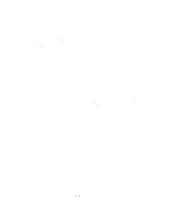 CCOC(=O)N(c1ccc(C(=O)Nc2cc(-c3ccc(SC)s3)ccc2N)cc1)N(C)C